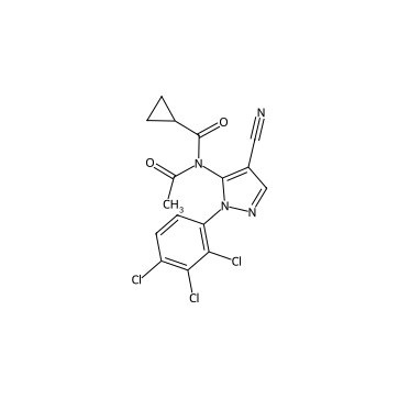 CC(=O)N(C(=O)C1CC1)c1c(C#N)cnn1-c1ccc(Cl)c(Cl)c1Cl